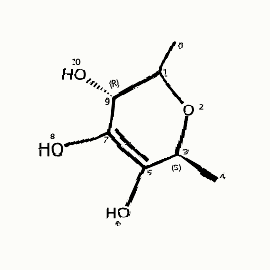 CC1O[C@@H](C)C(O)=C(O)[C@@H]1O